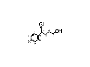 C#CC(CCCO)c1ccccc1